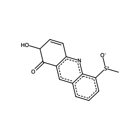 C[S+]([O-])c1cccc2cc3c(nc12)C=CC(O)C3=O